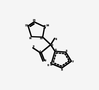 C=C(C)C(C)(c1cccs1)C1CC=CS1